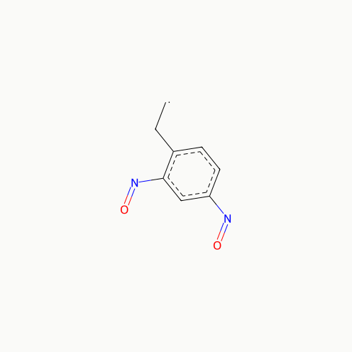 [CH2]Cc1ccc(N=O)cc1N=O